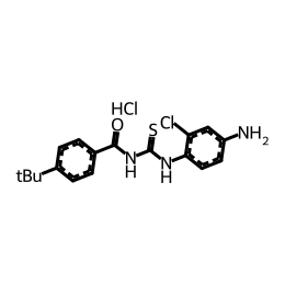 CC(C)(C)c1ccc(C(=O)NC(=S)Nc2ccc(N)cc2Cl)cc1.Cl